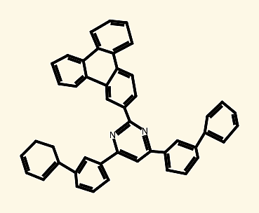 C1=CCCC(c2cccc(-c3cc(-c4cccc(-c5ccccc5)c4)nc(-c4ccc5c6ccccc6c6ccccc6c5c4)n3)c2)=C1